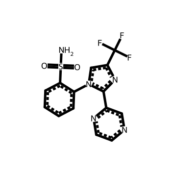 NS(=O)(=O)c1ccccc1-n1cc(C(F)(F)F)nc1-c1cnccn1